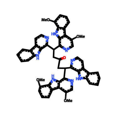 COc1cccc2c1[nH]c1c(C(CC(=O)CC(c3nccc4c3[nH]c3ccccc34)c3ncc(OC)c4c3[nH]c3c(OC)cccc34)c3nccc4c3[nH]c3ccccc34)ncc(OC)c12